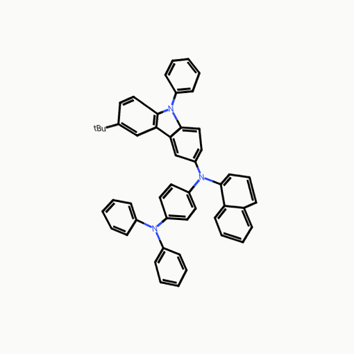 CC(C)(C)c1ccc2c(c1)c1cc(N(c3ccc(N(c4ccccc4)c4ccccc4)cc3)c3cccc4ccccc34)ccc1n2-c1ccccc1